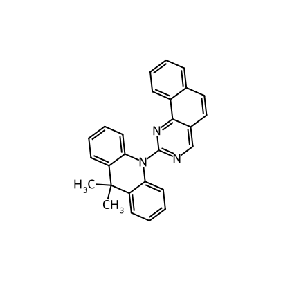 CC1(C)c2ccccc2N(c2ncc3ccc4ccccc4c3n2)c2ccccc21